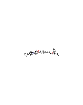 C=C(C)COCCCCCCCCCCCOc1ccc(/C=C/c2ccc([N+](=O)[O-])cc2)cc1